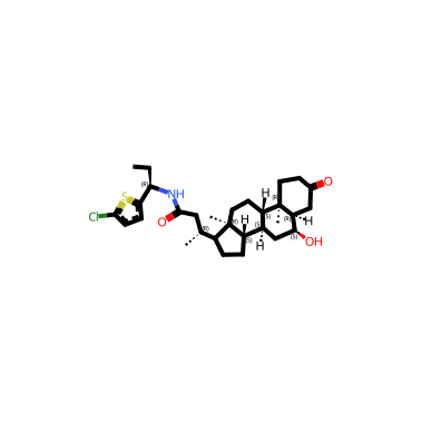 CC[C@@H](NC(=O)C[C@@H](C)C1CC[C@H]2[C@@H]3C[C@H](O)[C@@H]4CC(=O)CC[C@]4(C)[C@H]3CC[C@]12C)c1ccc(Cl)s1